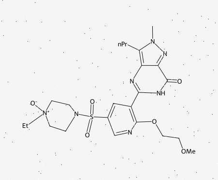 CCCc1c2nc(-c3cc(S(=O)(=O)N4CC[N+]([O-])(CC)CC4)cnc3OCCOC)[nH]c(=O)c2nn1C